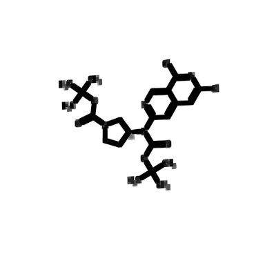 CC(C)(C)OC(=O)N1CC[C@H](N(C(=O)OC(C)(C)C)c2cc3cc(Cl)nc(Cl)c3cn2)C1